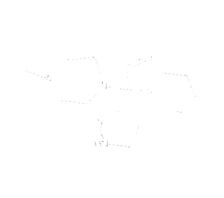 CN1CCN(C(C=O)(c2cc[nH]n2)N2CCCCC2)CC1